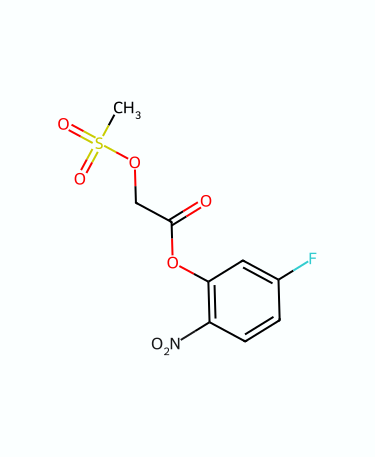 CS(=O)(=O)OCC(=O)Oc1cc(F)ccc1[N+](=O)[O-]